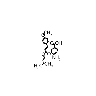 COc1ccc(C=CC(=O)OCCC(C)C)cc1.Nc1ccc(C(=O)O)cc1